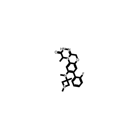 CC1C(=O)NN=C2COc3cc(-c4ccccc4F)c(N(C)C4(C)CN(C)C4)cc3N21